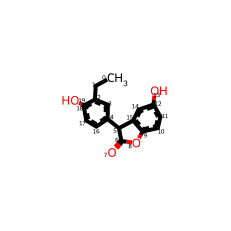 CCc1cc(C2C(=O)Oc3ccc(O)cc32)ccc1O